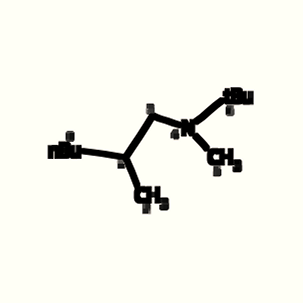 CCCCC(C)CN(C)C(C)(C)C